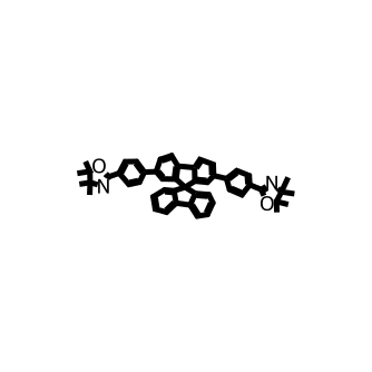 CC1(C)N=C(c2ccc(-c3ccc4c(c3)C3(c5ccccc5-c5ccccc53)c3cc(-c5ccc(C6=NC(C)(C)C(C)(C)O6)cc5)ccc3-4)cc2)OC1(C)C